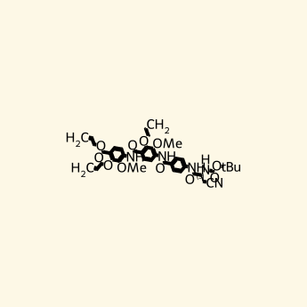 C=CCOC(=O)c1ccc(NC(=O)c2ccc(NC(=O)c3ccc(NC(=O)[C@H](CC#N)NC(=O)OC(C)(C)C)cc3)c(OC)c2OCC=C)c(OC)c1OCC=C